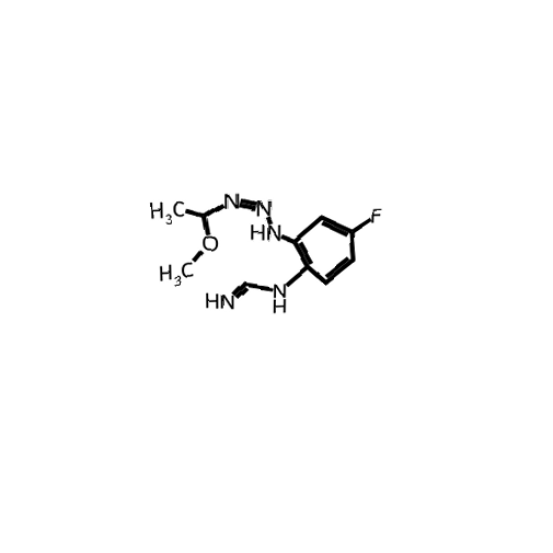 COC(C)/N=N\Nc1cc(F)ccc1NC=N